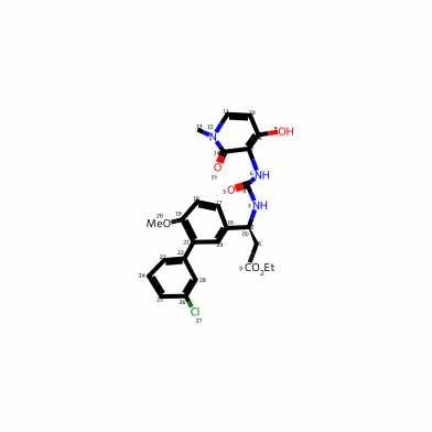 CCOC(=O)C[C@H](NC(=O)Nc1c(O)ccn(C)c1=O)c1ccc(OC)c(-c2cccc(Cl)c2)c1